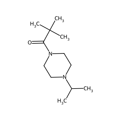 CC(C)N1CCN(C(=O)C(C)(C)C)CC1